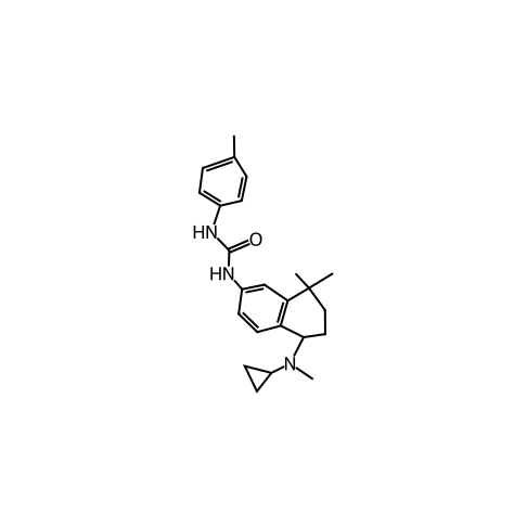 Cc1ccc(NC(=O)Nc2ccc3c(c2)C(C)(C)CCC3N(C)C2CC2)cc1